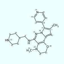 Cc1nc2c3c(c(NCC4CCNCC4)nn2c1-c1ccncc1)N(C)CCO3